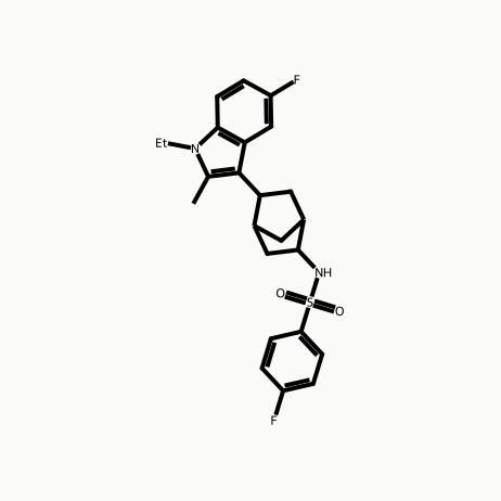 CCn1c(C)c(C2CC3CC2CC3NS(=O)(=O)c2ccc(F)cc2)c2cc(F)ccc21